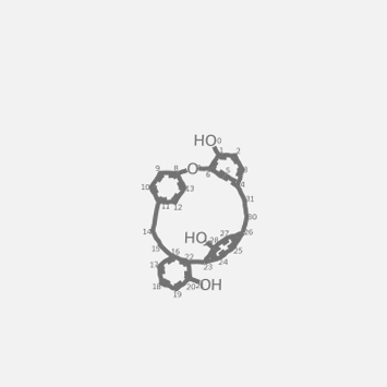 Oc1ccc2cc1Oc1ccc(cc1)CCc1cccc(O)c1-c1ccc(cc1O)CC2